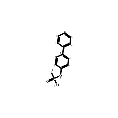 O=P(Cl)(Cl)Oc1ccc(-c2ccccc2)cc1